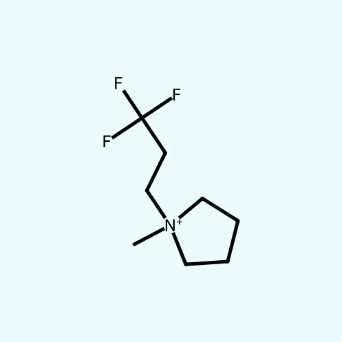 C[N+]1(CCC(F)(F)F)CCCC1